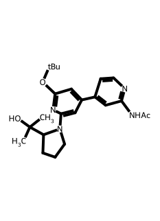 CC(=O)Nc1cc(-c2cc(OC(C)(C)C)nc(N3CCCC3C(C)(C)O)c2)ccn1